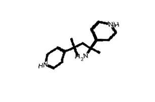 CC(C)(CC(C)(N)C1CCNCC1)C1CCNCC1